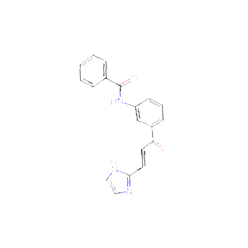 O=C(C=Cc1ncc[nH]1)c1cccc(NC(=O)c2ccccc2)c1